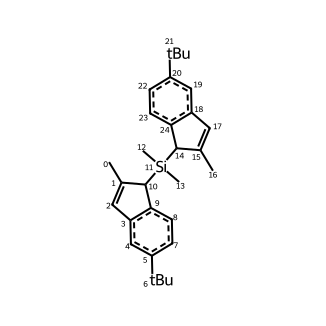 CC1=Cc2cc(C(C)(C)C)ccc2C1[Si](C)(C)C1C(C)=Cc2cc(C(C)(C)C)ccc21